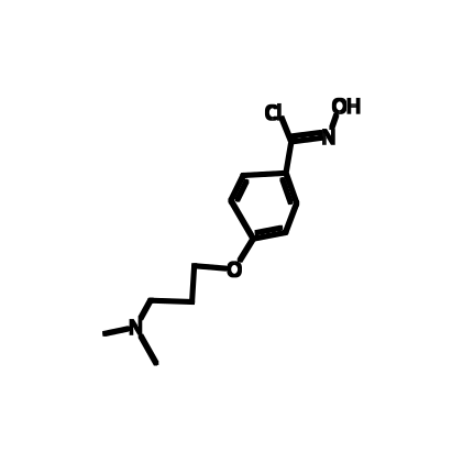 CN(C)CCCOc1ccc(C(Cl)=NO)cc1